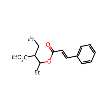 CCOC(=O)C(CC(C)C)C(CC)OC(=O)C=Cc1ccccc1